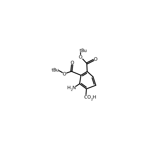 CC(C)(C)OC(=O)c1ccc(C(=O)O)c(N)c1C(=O)OC(C)(C)C